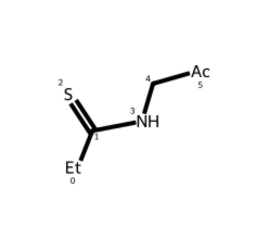 [CH2]CC(=S)NCC(C)=O